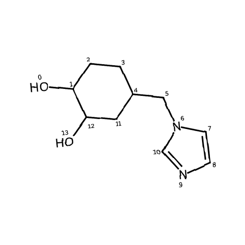 OC1CCC(Cn2ccnc2)CC1O